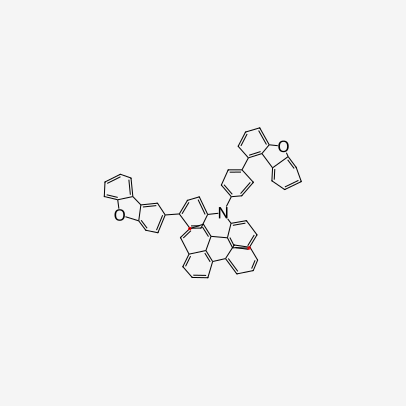 c1ccc(-c2cccc3cccc(-c4ccccc4N(c4ccc(-c5ccc6oc7ccccc7c6c5)cc4)c4ccc(-c5cccc6oc7ccccc7c56)cc4)c23)cc1